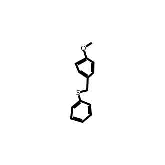 COc1ccc(CSc2ccccc2)cc1